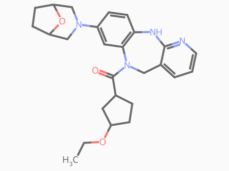 CCOC1CCC(C(=O)N2Cc3cccnc3Nc3ccc(N4CC5CCC(C4)O5)cc32)C1